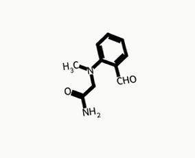 CN(CC(N)=O)c1ccccc1C=O